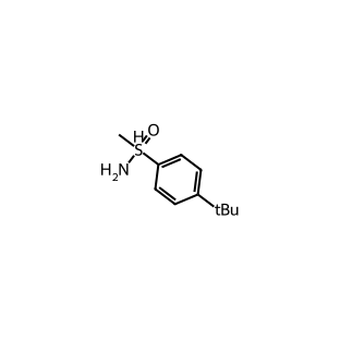 CC(C)(C)c1ccc([SH](C)(N)=O)cc1